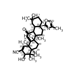 Cc1noc([C@]23CCC(C)(C)CC2C2C(=O)C=C4[C@@]5(C)C=C(C#N)C(O)C(C)(C)[C@@H]5CC[C@@]4(C)[C@]2(C)CC3)n1